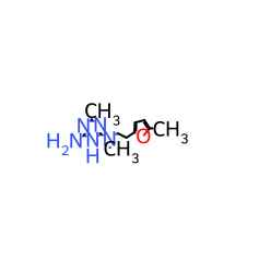 Cc1ccc(CCN(C)C2=NC(C)N=C(N)N2)o1